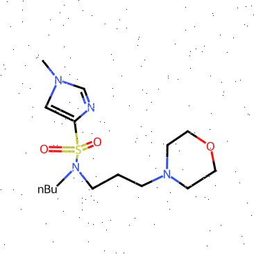 CCCCN(CCCN1CCOCC1)S(=O)(=O)c1cn(C)cn1